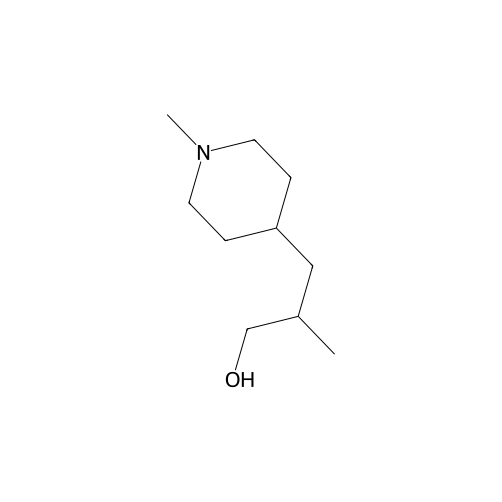 CC(CO)CC1CCN(C)CC1